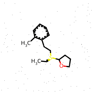 CC=S(CCc1ccccc1C)C1CCCO1